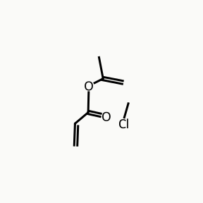 C=CC(=O)OC(=C)C.CCl